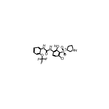 O=C(Nc1ccccc1OC(F)(F)F)Nc1ccc(Cl)c(S(=O)(=O)[C@@H]2CCNC2)c1O